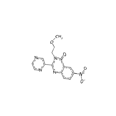 COCCn1c(-c2cnccn2)nc2ccc([N+](=O)[O-])cc2c1=O